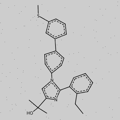 CCc1ccccc1-c1nc(C(C)(C)O)cn1-c1ccc(-c2cccc(SC)c2)cc1